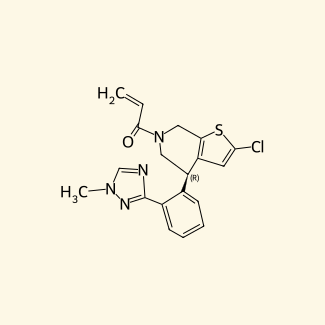 C=CC(=O)N1Cc2sc(Cl)cc2[C@@H](c2ccccc2-c2ncn(C)n2)C1